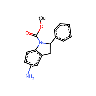 CC(C)(C)OC(=O)N1c2ccc(N)cc2CC1c1ccccc1